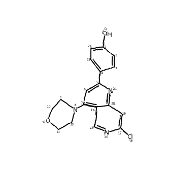 Oc1ccc(-c2cc(N3CCOCC3)c3cnc(Cl)cc3n2)cc1